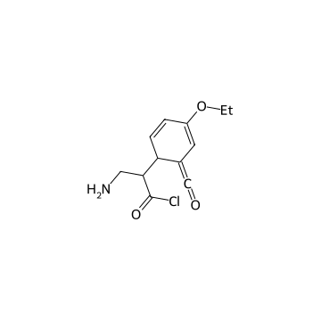 CCOC1=CC(=C=O)C(C(CN)C(=O)Cl)C=C1